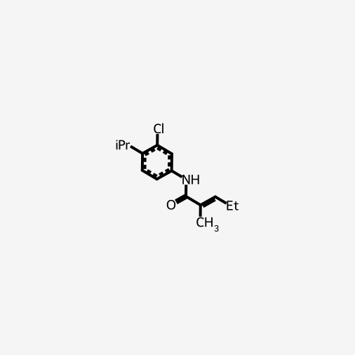 CCC=C(C)C(=O)Nc1ccc(C(C)C)c(Cl)c1